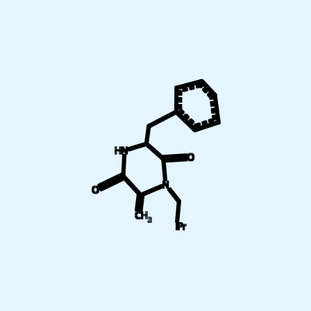 C=C1C(=O)NC(Cc2ccccc2)C(=O)N1CC(C)C